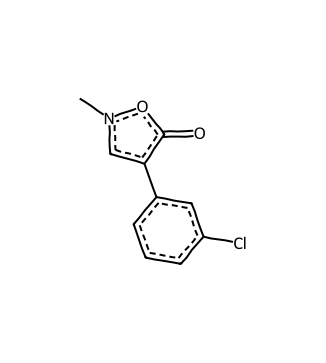 Cn1cc(-c2cccc(Cl)c2)c(=O)o1